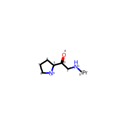 CC(C)NCC(=O)C1CCC[N]1